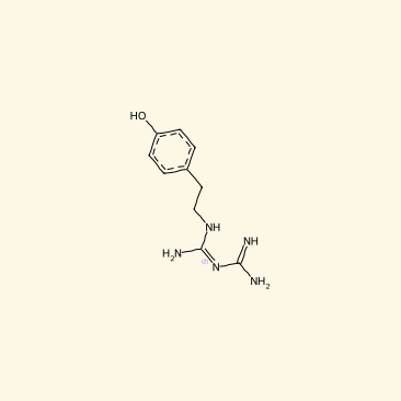 N=C(N)/N=C(/N)NCCc1ccc(O)cc1